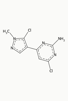 Cn1ncc(-c2cc(Cl)nc(N)n2)c1Cl